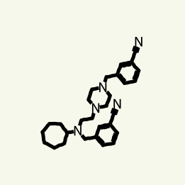 N#Cc1cccc(CN2CCN(CCN(Cc3cccc(C#N)c3)C3CCCCCC3)CC2)c1